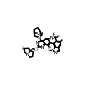 Cc1cc2cnn(C)c2c(-c2c(F)cc3c(N4CC5CCC(C4)N5)nc(OC[C@@]45CCCN4C[C@H](C)C5)nc3c2F)c1C(F)(F)F